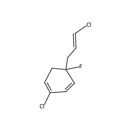 FC1(CC=CCl)C=CC(Cl)=CC1